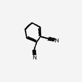 N#CC1=CCCC=C1C#N